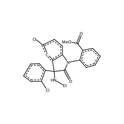 CCNC1(c2ccccc2Cl)C(=O)N(c2ccccc2C(=O)OC)c2ccc(Cl)cc21